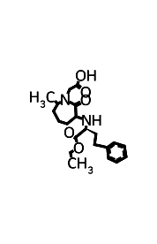 CCOC(=O)[C@H](CCc1ccccc1)NC1CCCC(C)N(CC(=O)O)C1=O